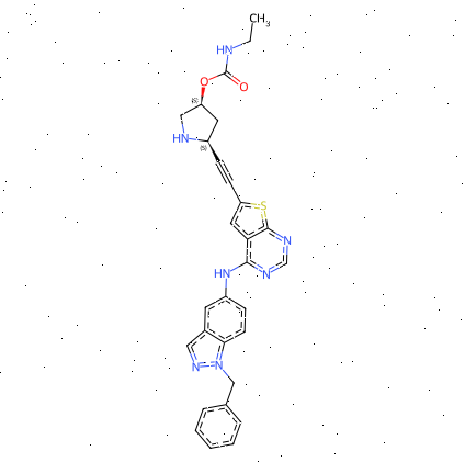 CCNC(=O)O[C@@H]1CN[C@H](C#Cc2cc3c(Nc4ccc5c(cnn5Cc5ccccc5)c4)ncnc3s2)C1